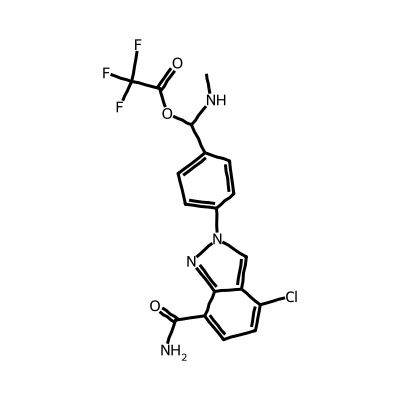 CNC(OC(=O)C(F)(F)F)c1ccc(-n2cc3c(Cl)ccc(C(N)=O)c3n2)cc1